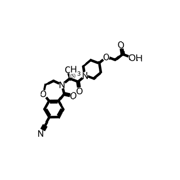 C[C@@H](C(=O)N1CCC(OCC(=O)O)CC1)N1CCOc2cc(C#N)ccc2C1=O